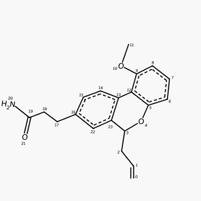 C=CCC1Oc2cccc(OC)c2-c2ccc(CCC(N)=O)cc21